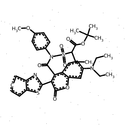 CCC(C(=O)OC(C)(C)C)S(=O)(=O)N(C(=O)c1c(-c2nc3ccccc3s2)c(=O)oc2cc(N(CC)CC)ccc12)c1ccc(OC)cc1